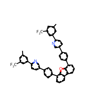 Cc1cc(-c2ccc(-c3ccc(-c4cccc5c4oc4c(-c6ccc(-c7ccc(-c8cc(C)cc(C(F)(F)F)c8)nc7)cc6)cccc45)cc3)cn2)cc(C(F)(F)F)c1